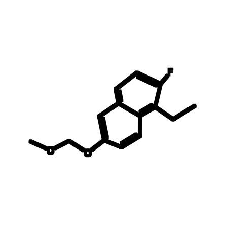 CCc1c(F)ccc2cc(OCOC)ccc12